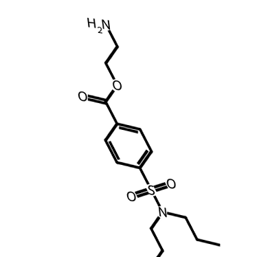 CCCN(CCC)S(=O)(=O)c1ccc(C(=O)OCCN)cc1